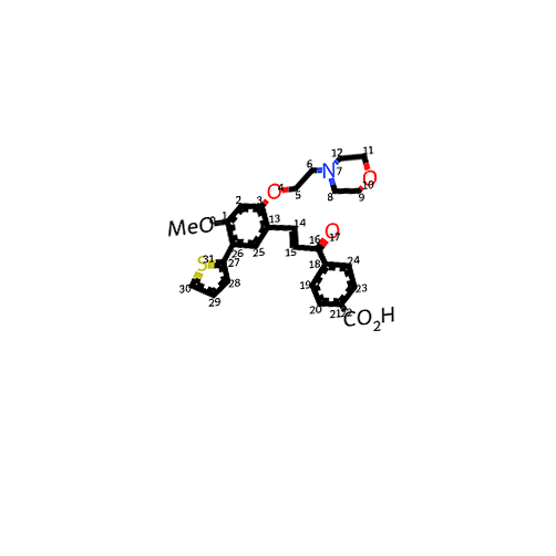 COc1cc(OCCN2CCOCC2)c(C=CC(=O)c2ccc(C(=O)O)cc2)cc1-c1cccs1